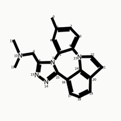 Cc1ccc2c(c1)n1c(CN(C)C)nnc1c1cccc3ccn2c31